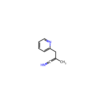 CC(=C=N)Cc1ccccn1